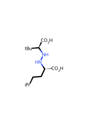 CC(C)CC[C@H](NN[C@H](C(=O)O)C(C)(C)C)C(=O)O